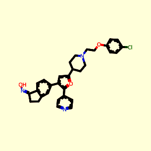 O/N=C1/CCc2cc(-c3cc(C4CCN(CCOc5ccc(Cl)cc5)CC4)oc3-c3ccncc3)ccc21